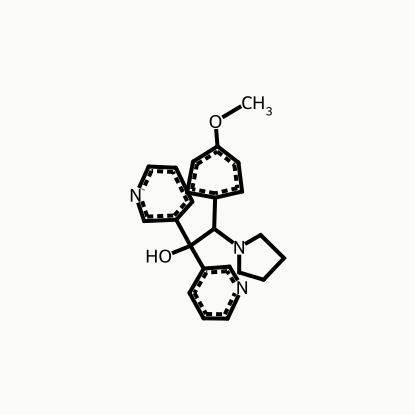 COc1ccc(C(N2CCCC2)C(O)(c2cccnc2)c2cccnc2)cc1